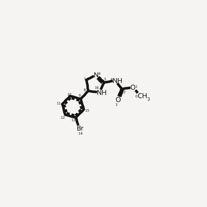 COC(=O)NC1=NCC(c2cccc(Br)c2)N1